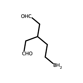 BCCC(CC=O)CC=O